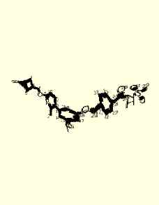 Cc1nc(OCC2CCC2)ccc1-c1cc(F)cc(OCc2ccc(C(=O)NS(C)(=O)=O)cc2)c1